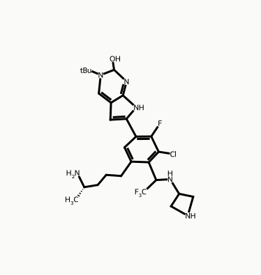 C[C@H](N)CCCc1cc(-c2cc3c([nH]2)=NC(O)N(C(C)(C)C)C=3)c(F)c(Cl)c1C(NC1CNC1)C(F)(F)F